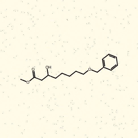 COC(=O)CC(O)CCCCCOCc1ccccc1